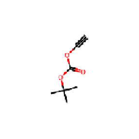 C#COC(=O)OC(C)(C)C